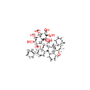 C=Cc1c(C=C)c(-c2cccc3oc4cc5ccccc5cc4c23)c2ccc(-c3ccccc3)cc2c1-c1c(O)c(O)c(O)c2c(O)c(O)c(O)c(O)c12